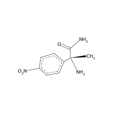 C[C@](N)(C(N)=O)c1ccc([N+](=O)[O-])cc1